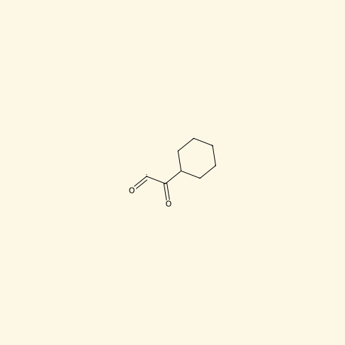 O=[C]C(=O)C1CCCCC1